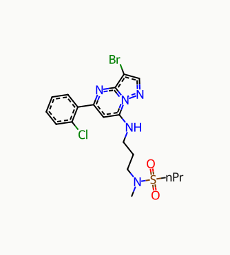 CCCS(=O)(=O)N(C)CCCNc1cc(-c2ccccc2Cl)nc2c(Br)cnn12